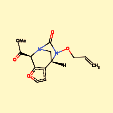 C=CCON1C(=O)N2C[C@H]1c1ccoc1[C@H]2C(=O)OC